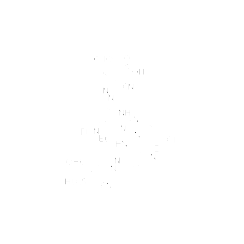 CCN(CC)c1ccc(/N=N/c2sc(C=O)c(S(=O)O)c2C#N)c(Nc2nc(Nc3cc(N(CC)CC)ccc3/N=N/c3sc(C=O)c(S(=O)(=O)O)c3C#N)nc(SCCO)n2)c1